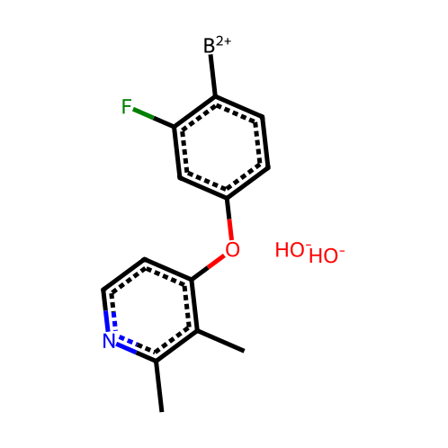 [B+2]c1ccc(Oc2ccnc(C)c2C)cc1F.[OH-].[OH-]